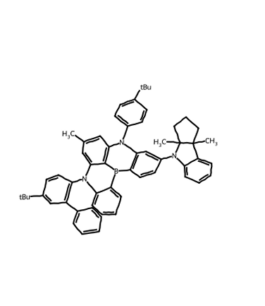 Cc1cc2c3c(c1)N(c1ccc(C(C)(C)C)cc1-c1ccccc1)c1ccccc1B3c1ccc(N3c4ccccc4C4(C)CCCC34C)cc1N2c1ccc(C(C)(C)C)cc1